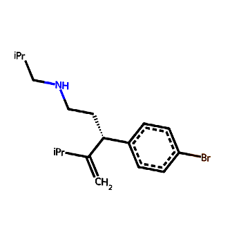 C=C(C(C)C)[C@H](CCNCC(C)C)c1ccc(Br)cc1